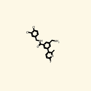 Cc1nc(F)ccc1-c1cc(CN)cc(C(=O)NCc2ccc(Cl)c(Cl)c2)c1